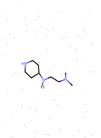 CCN(CCN(C)C)C1CCNCC1